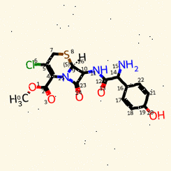 COC(=O)C1=C(Cl)CS[C@H]2C(NC(=O)C(N)C3C=CC(O)C=C3)C(=O)N12